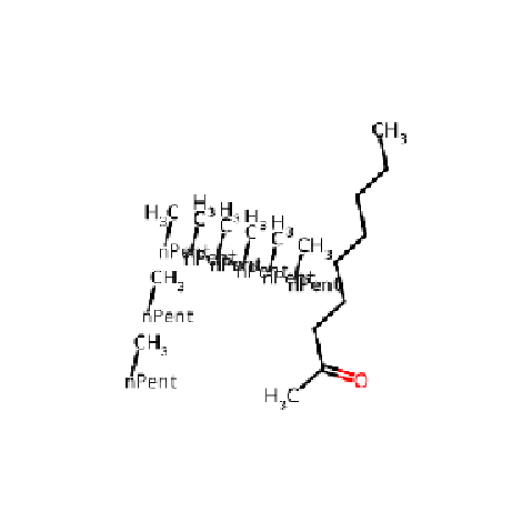 CCCCCC.CCCCCC.CCCCCC.CCCCCC.CCCCCC.CCCCCC.CCCCCC.CCCCCC.CCCCCCCC(C)=O